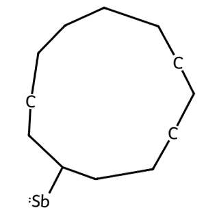 [Sb][CH]1CCCCCCCCCCC1